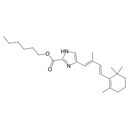 CCCCCCOC(=O)c1nc(C=C(C)C=CC2=C(C)CCCC2(C)C)c[nH]1